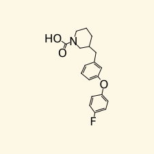 O=C(O)N1CCCC(Cc2cccc(Oc3ccc(F)cc3)c2)C1